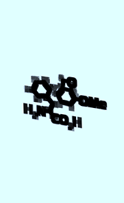 COc1cccc2c1OC2.NC(Cc1ccccc1)C(=O)O